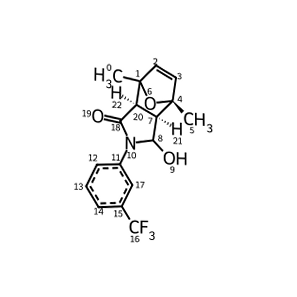 CC12C=C[C@@](C)(O1)[C@H]1C(O)N(c3cccc(C(F)(F)F)c3)C(=O)[C@H]12